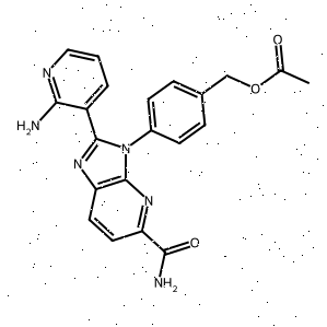 CC(=O)OCc1ccc(-n2c(-c3cccnc3N)nc3ccc(C(N)=O)nc32)cc1